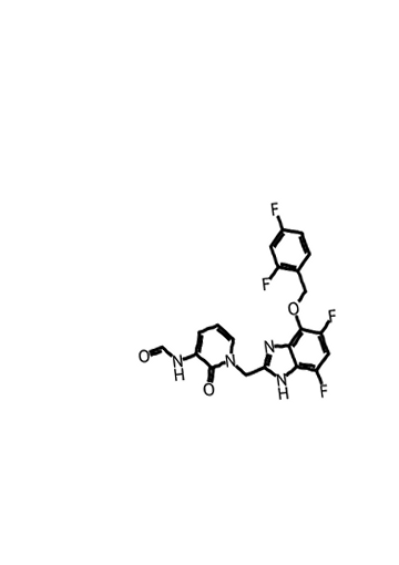 O=CNc1cccn(Cc2nc3c(OCc4ccc(F)cc4F)c(F)cc(F)c3[nH]2)c1=O